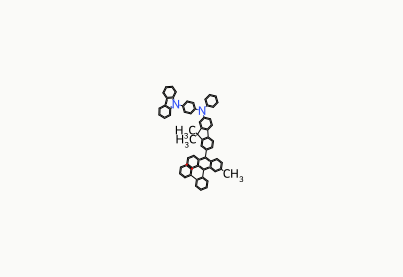 Cc1ccc2c(-c3ccc4c(c3)C(C)(C)c3cc(N(c5ccccc5)c5ccc(-n6c7ccccc7c7ccccc76)cc5)ccc3-4)c3ccccc3c(-c3ccccc3-c3ccccc3)c2c1